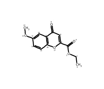 CCOC(=O)c1cc(=O)c2cc(OC)ccc2o1